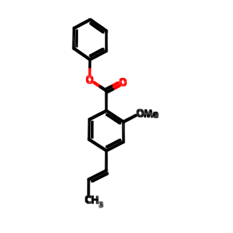 CC=Cc1ccc(C(=O)Oc2ccccc2)c(OC)c1